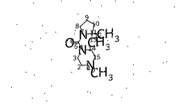 CN1CCN(C(=O)N2CCCC2(C)C)CC1